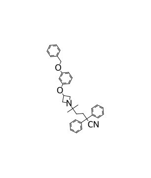 CC(C)(CCC(C#N)(c1ccccc1)c1ccccc1)N1CC(Oc2cccc(OCc3ccccc3)c2)C1